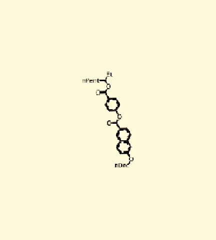 CCCCCCCCCCOc1ccc2cc(C(=O)Oc3ccc(C(=O)O[C@H](CC)CCCCC)cc3)ccc2c1